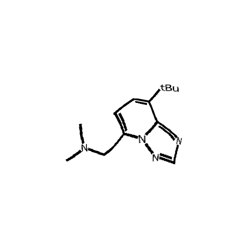 CN(C)Cc1ccc(C(C)(C)C)c2ncnn12